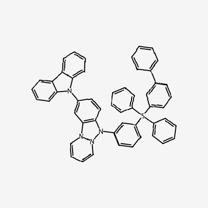 C1=CN2c3cc(-n4c5ccccc5c5ccccc54)ccc3N(c3cccc(S(c4ccccc4)(c4ccccc4)c4cccc(-c5ccccc5)c4)c3)N2C=C1